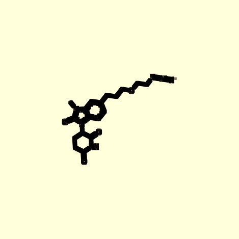 Cn1c(=O)n(C2CCC(=O)NC2=O)c2ccc(CCCOCCN=[N+]=[N-])cc21